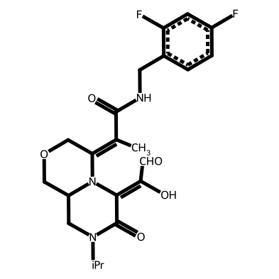 C/C(C(=O)NCc1ccc(F)cc1F)=C1/COCC2CN(C(C)C)C(=O)/C(=C(\O)C=O)N12